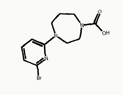 O=C(O)N1CCCN(c2cccc(Br)n2)CC1